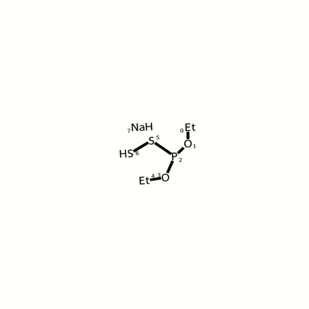 CCOP(OCC)SS.[NaH]